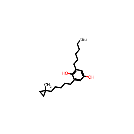 CC(C)(C)CCCCCc1cc(O)cc(CCCCCC2(C)CC2)c1O